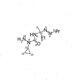 CCC(C)(/N=N/C(C)C)NC(=O)N(N)C1CC1